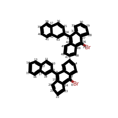 Brc1c2ccccc2c(-c2ccc3ccccc3c2)c2ccccc12.Brc1c2ccccc2c(-c2ccc3ccccc3c2)c2ccccc12